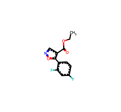 CCOC(=O)c1cnoc1-c1ccc(F)cc1F